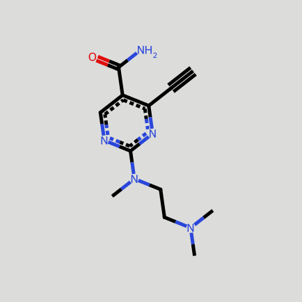 C#Cc1nc(N(C)CCN(C)C)ncc1C(N)=O